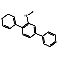 CNc1cc(-c2ccccc2)ccc1C1=CCCC=C1